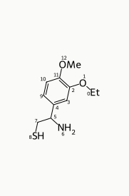 CCOc1cc(C(N)CS)ccc1OC